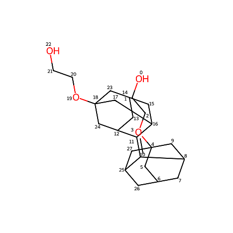 OCCOC12CC3CC(C1)C(=C1C4CC5CC1CC(OCCO)(C5)C4)C(C3)C2